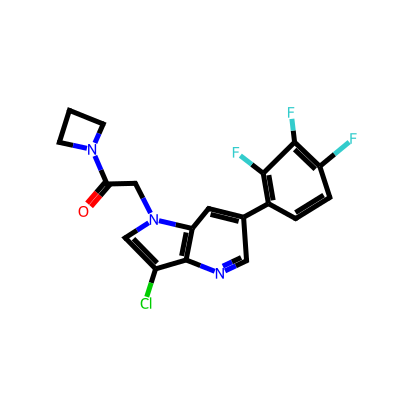 O=C(Cn1cc(Cl)c2ncc(-c3ccc(F)c(F)c3F)cc21)N1CCC1